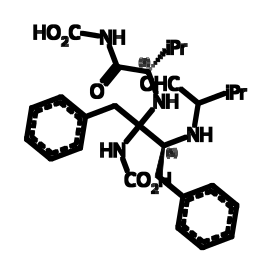 CC(C)C(C=O)N[C@@H](Cc1ccccc1)C(Cc1ccccc1)(NC(=O)O)N[C@H](C(=O)NC(=O)O)C(C)C